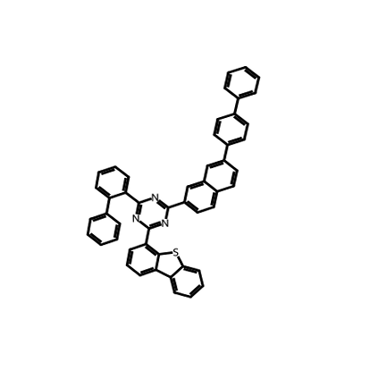 c1ccc(-c2ccc(-c3ccc4ccc(-c5nc(-c6ccccc6-c6ccccc6)nc(-c6cccc7c6sc6ccccc67)n5)cc4c3)cc2)cc1